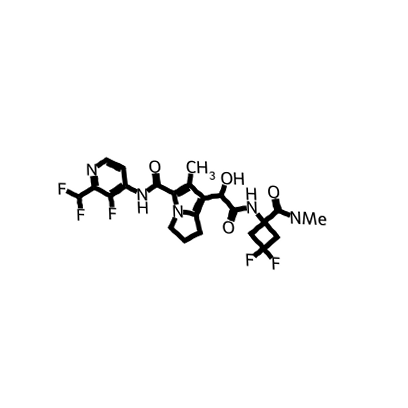 CNC(=O)C1(NC(=O)C(O)c2c(C)c(C(=O)Nc3ccnc(C(F)F)c3F)n3c2CCC3)CC(F)(F)C1